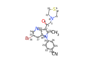 Cc1c(C(=O)CN2CCSCC2)c2ncc(Br)cc2n1-c1ccc(C#N)cc1